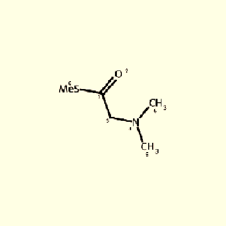 CSC(=O)CN(C)C